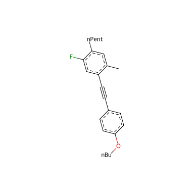 CCCCCc1cc(C)c(C#Cc2ccc(OCCCC)cc2)cc1F